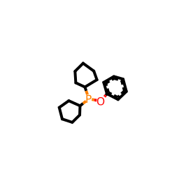 c1ccc(OP(C2CCCCC2)C2CCCCC2)cc1